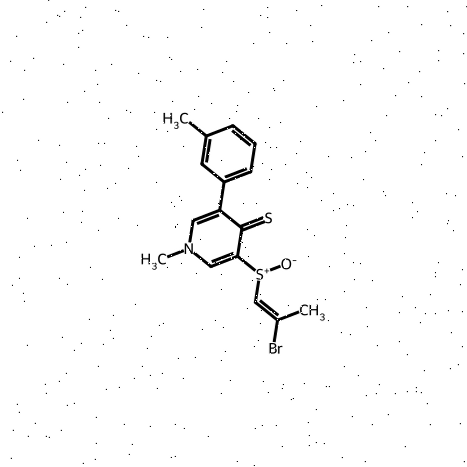 C/C(Br)=C\[S+]([O-])c1cn(C)cc(-c2cccc(C)c2)c1=S